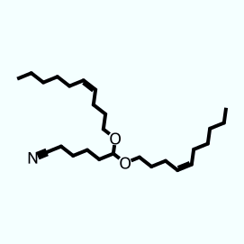 CCCCC/C=C\CCCOC(CCCCC#N)OCCC/C=C\CCCCC